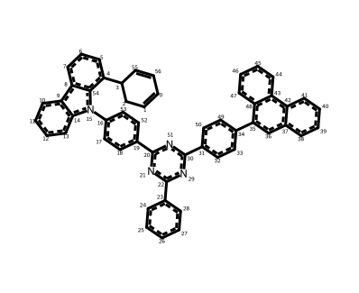 C1=CCC(c2cccc3c4ccccc4n(-c4ccc(-c5nc(-c6ccccc6)nc(-c6ccc(-c7cc8ccccc8c8ccccc78)cc6)n5)cc4)c23)C=C1